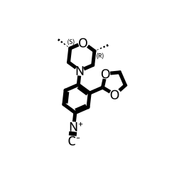 [C-]#[N+]c1ccc(N2C[C@@H](C)O[C@@H](C)C2)c(C2OCCO2)c1